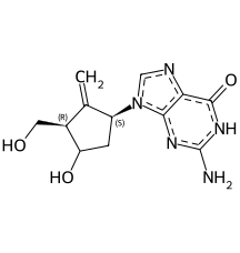 C=C1[C@H](CO)C(O)C[C@@H]1n1cnc2c(=O)[nH]c(N)nc21